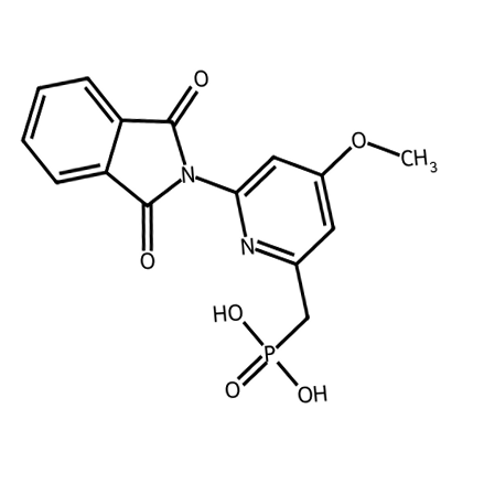 COc1cc(CP(=O)(O)O)nc(N2C(=O)c3ccccc3C2=O)c1